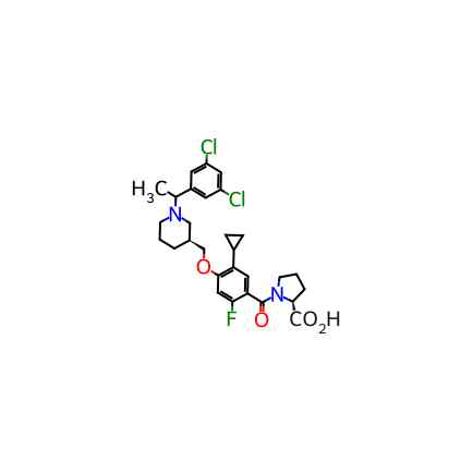 CC(c1cc(Cl)cc(Cl)c1)N1CCC[C@H](COc2cc(F)c(C(=O)N3CCC[C@H]3C(=O)O)cc2C2CC2)C1